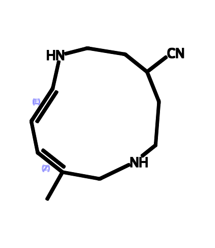 C/C1=C/C=C/NCCC(C#N)CCNC1